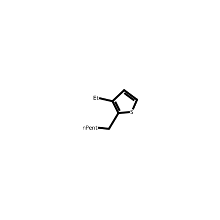 CCCCCCc1sccc1CC